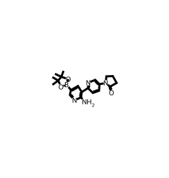 CC1(C)OB(c2cnc(N)c(-c3ccc(N4CCCC4=O)cn3)c2)OC1(C)C